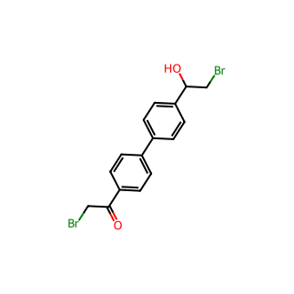 O=C(CBr)c1ccc(-c2ccc(C(O)CBr)cc2)cc1